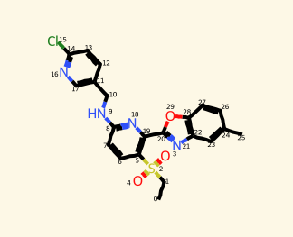 CCS(=O)(=O)c1ccc(NCc2ccc(Cl)nc2)nc1-c1nc2cc(C)ccc2o1